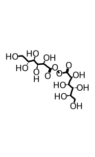 O=C(OOC(=O)[C@H](O)[C@@H](O)[C@H](O)[C@H](O)CO)[C@H](O)[C@@H](O)[C@H](O)[C@H](O)CO